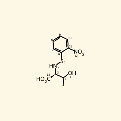 CC(O)[C@H](NSc1ccccc1[N+](=O)[O-])C(=O)O